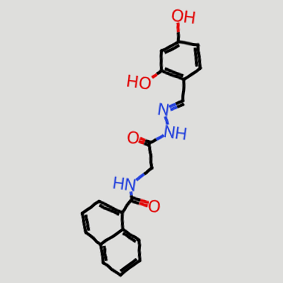 O=C(CNC(=O)c1cccc2ccccc12)N/N=C/c1ccc(O)cc1O